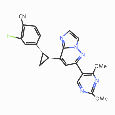 COc1ncc(-c2cc([C@H]3C[C@@H]3c3ccc(C#N)c(F)c3)c3nccn3n2)c(OC)n1